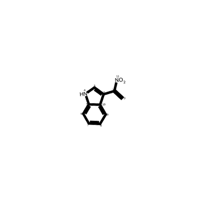 C=C(c1c[nH]c2ccccc12)[N+](=O)[O-]